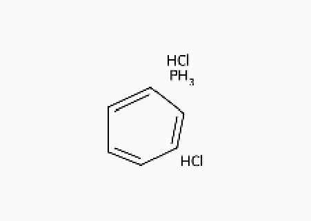 Cl.Cl.P.c1ccccc1